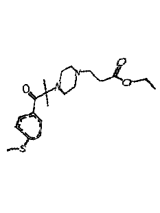 CCOC(=O)CCN1CCN(C(C)(C)C(=O)c2ccc(SC)cc2)CC1